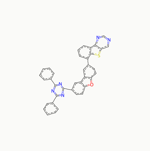 c1ccc(-c2nc(-c3ccccc3)nc(-c3ccc4oc5ccc(-c6cccc7c6sc6cncnc67)cc5c4c3)n2)cc1